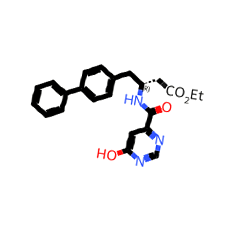 CCOC(=O)C[C@@H](Cc1ccc(-c2ccccc2)cc1)NC(=O)c1cc(O)ncn1